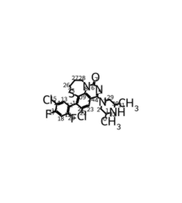 CC1CN(c2nc(=O)n3c4c(c(-c5cc(Cl)c(F)cc5F)c(Cl)cc24)SCCC3)CC(C)N1